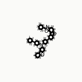 c1ccc(-c2ccc(N(c3ccc(-c4ccc5oc6ccc7nc(-c8ccccc8)oc7c6c5c4)cc3)c3ccc4oc5ccccc5c4c3)cc2)cc1